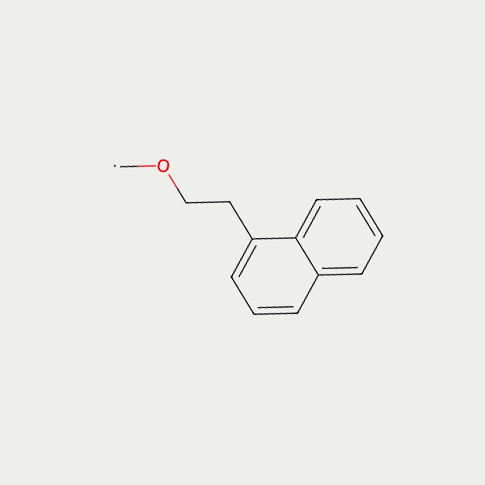 [CH2]OCCc1cccc2ccccc12